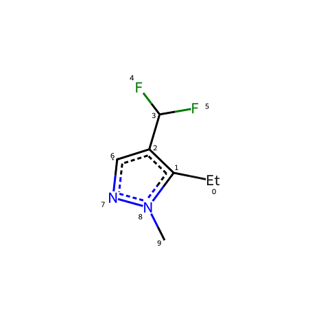 CCc1c(C(F)F)[c]nn1C